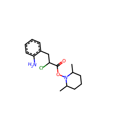 CC1CCCC(C)N1OC(=O)C(Cl)Cc1ccccc1N